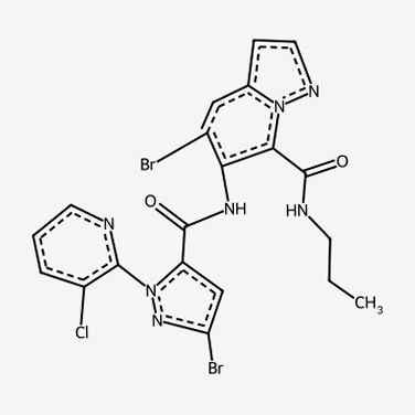 CCCNC(=O)c1c(NC(=O)c2cc(Br)nn2-c2ncccc2Cl)c(Br)cc2ccnn12